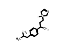 CC(C)Cc1ccc(C(C)CCS2(F)CC=NC2)cc1